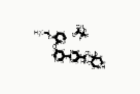 CCOc1cccnc1Oc1cncc(-c2ncc(C(=O)N[C@@H]3CNCCC3(F)F)cn2)c1.O=C(O)C(F)(F)F